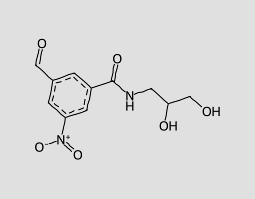 O=Cc1cc(C(=O)NCC(O)CO)cc([N+](=O)[O-])c1